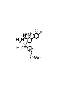 COCCn1ncc([C@@H](C)Oc2ccc(-c3ccc(F)c(Cl)c3F)c3ncnc(N)c23)n1